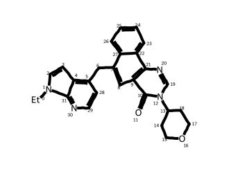 CCn1ccc2c(Cc3cc4c(=O)n(C5CCOCC5)cnc4c4ccccc34)ccnc21